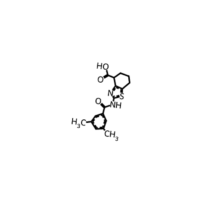 Cc1cc(C)cc(C(=O)Nc2nc3c(s2)CCCC3C(=O)O)c1